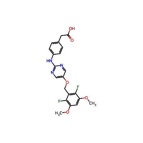 COc1cc(OC)c(F)c(COc2cnc(Nc3ccc(CC(=O)O)cc3)nc2)c1F